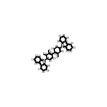 CC1=C(C2=C(C)C(C)C(n3c4ccccc4c4ccccc43)C=C2)CCC(n2c3ccccc3c3ccccc32)=C1